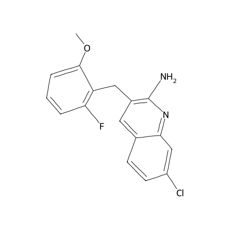 COc1cccc(F)c1Cc1cc2ccc(Cl)cc2nc1N